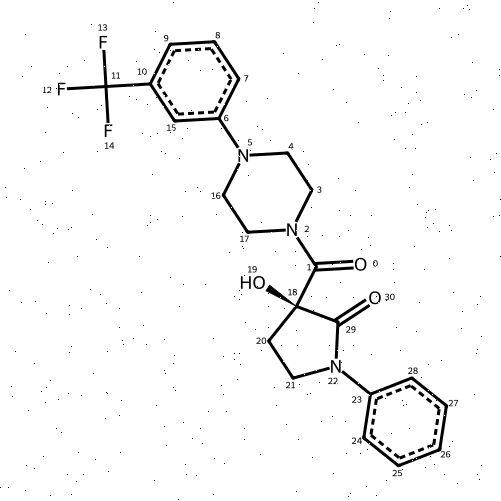 O=C(N1CCN(c2cccc(C(F)(F)F)c2)CC1)[C@@]1(O)CCN(c2ccccc2)C1=O